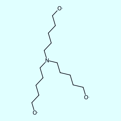 [O]CCCCCN(CCCCC[O])CCCCC[O]